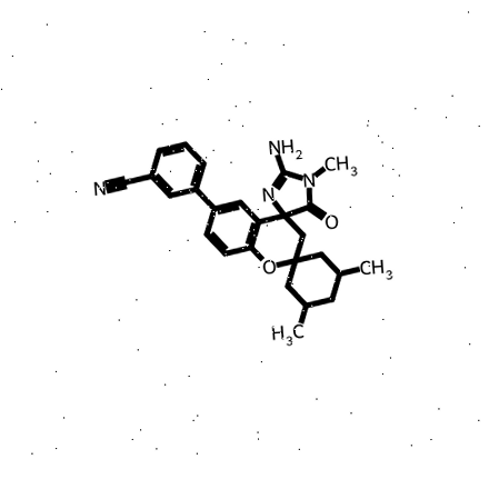 CC1CC(C)CC2(C1)CC1(N=C(N)N(C)C1=O)c1cc(-c3cccc(C#N)c3)ccc1O2